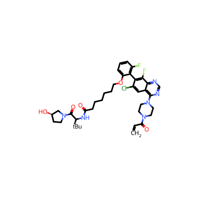 C=CC(=O)N1CCN(c2ncnc3c(F)c(-c4c(F)cccc4OCCCCCCC(=O)NC(C(=O)N4CC[C@@H](O)C4)C(C)(C)C)c(Cl)cc23)CC1